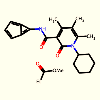 CCC(=O)OC.Cc1c(C)c(C)n(C2CCCCC2)c(=O)c1C(=O)Nc1c2cccc1-2